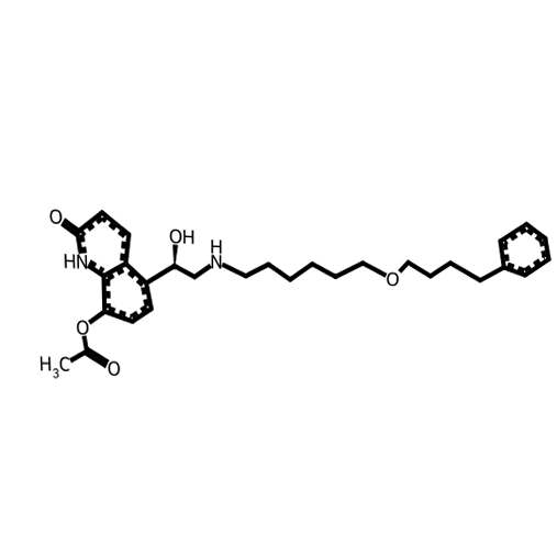 CC(=O)Oc1ccc([C@@H](O)CNCCCCCCOCCCCc2ccccc2)c2ccc(=O)[nH]c12